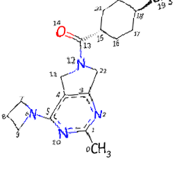 Cc1nc2c(c(N3CCC3)n1)CN(C(=O)[C@H]1CC[C@H](C(F)(F)F)CC1)C2